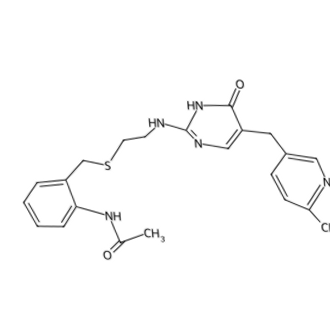 CC(=O)Nc1ccccc1CSCCNc1ncc(Cc2ccc(C)nc2)c(=O)[nH]1